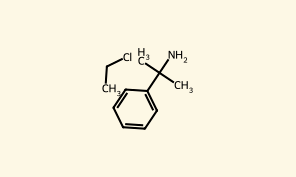 CC(C)(N)c1ccccc1.CCCl